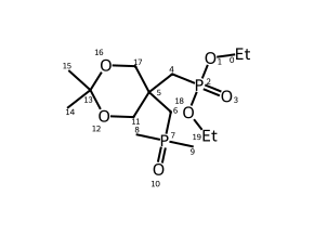 CCOP(=O)(CC1(CP(C)(C)=O)COC(C)(C)OC1)OCC